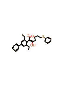 CCc1cc(-c2ccccc2)cc(CC)c1C1=C(O)CC(CCSc2ccccc2)OC1=O